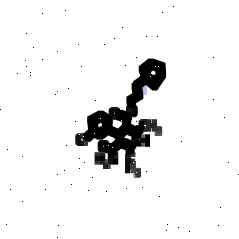 CC1=C(C(N)=O)C(c2cccc(Cl)c2)C(C(=O)OC/C=C/c2ccccc2)=C(C)N1